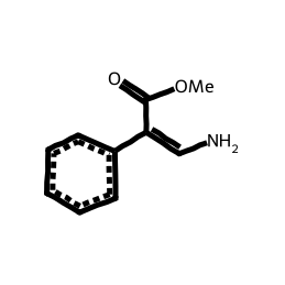 COC(=O)C(=CN)c1ccccc1